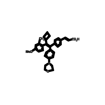 COc1ccc(C(=C(c2ccc(C=CC(=O)O)cc2)c2ccc(N3CCOCC3)cc2)C2CCC2)c(C)c1